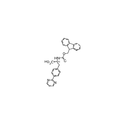 O=C(N[C@@H](Cc1ccc(-c2ncccn2)cc1)C(=O)O)OCC1c2ccccc2-c2ccccc21